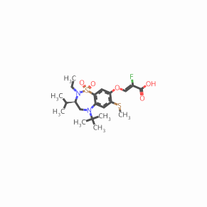 CCN1[C@H](C(C)C)CN(C(C)(C)C)c2cc(SC)c(O/C=C(\F)C(=O)O)cc2S1(=O)=O